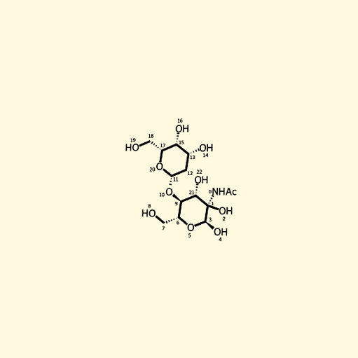 CC(=O)N[C@]1(O)[C@@H](O)O[C@H](CO)[C@@H](O[C@H]2C[C@@H](O)[C@@H](O)[C@@H](CO)O2)[C@@H]1O